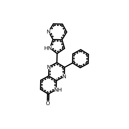 O=c1ccc2nc(-c3cc4cccnc4[nH]3)c(-c3ccccc3)nc2[nH]1